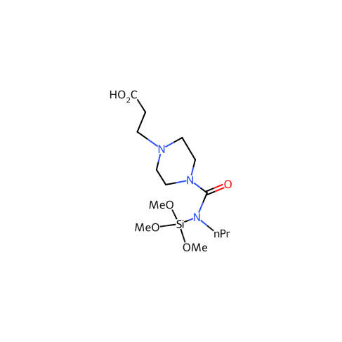 CCCN(C(=O)N1CCN(CCC(=O)O)CC1)[Si](OC)(OC)OC